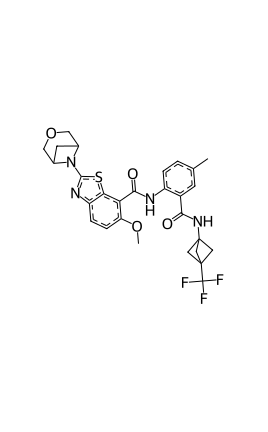 COc1ccc2nc(N3C4COCC3C4)sc2c1C(=O)Nc1ccc(C)cc1C(=O)NC12CC(C(F)(F)F)(C1)C2